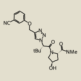 CNC(=O)[C@@H]1C[C@@H](O)CN1C(=O)[C@@H](n1cc(COc2cccc(C#N)c2)nn1)C(C)(C)C